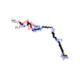 CN(CCCC(=O)O)C[C@H]1O[C@@H](n2cnc3c(/N=C/CCCCC/C=N\CCCCCNCCCCC[C@H]4SC[C@H]5NC(=O)N[C@H]54)ncnc32)[C@H](O)[C@@H]1O